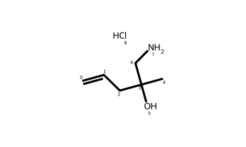 C=CCC(C)(O)CN.Cl